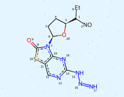 CCC(N=O)[C@@H]1CC[C@H](n2c(=O)sc3cnc(NN=N)nc32)O1